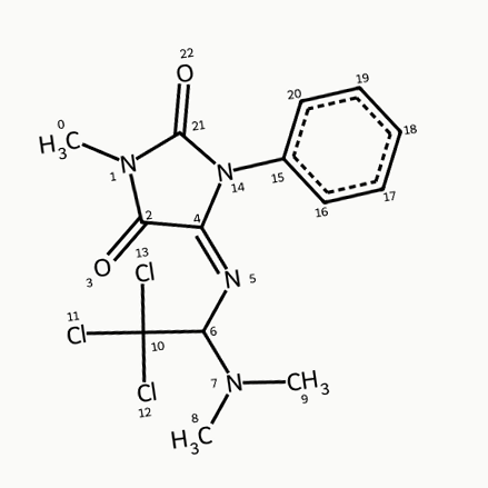 CN1C(=O)C(=NC(N(C)C)C(Cl)(Cl)Cl)N(c2ccccc2)C1=O